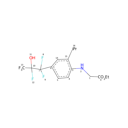 CCOC(=O)CNc1ccc(C(F)(F)C(O)(F)C(F)(F)F)cc1C(C)C